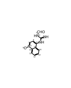 N=C(NC=O)Nc1cc[n+]([O-])c2ccccc12